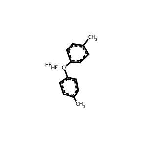 Cc1ccc(Oc2ccc(C)cc2)cc1.F.F